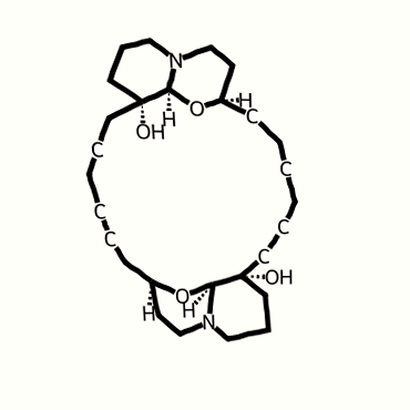 O[C@]12CCCCCC[C@@H]3CCN4CCC[C@](O)(CCCCCC[C@@H]5CCN(CCC1)[C@H]2O5)[C@@H]4O3